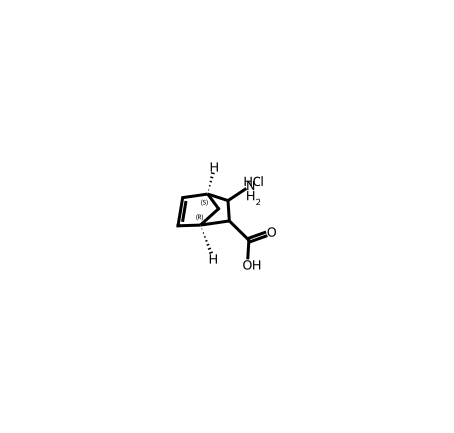 Cl.NC1C(C(=O)O)[C@H]2C=C[C@@H]1C2